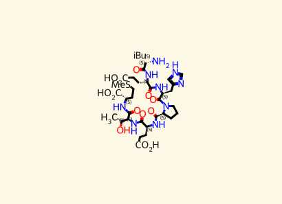 CC[C@H](C)[C@H](N)C(=O)N[C@@H](CCC(=O)O)C(=O)N[C@@H](Cc1c[nH]cn1)C(=O)N1CCC[C@H]1C(=O)N[C@@H](CCC(=O)O)C(=O)N[C@H](C(=O)N[C@@H](CCSC)C(=O)O)[C@@H](C)O